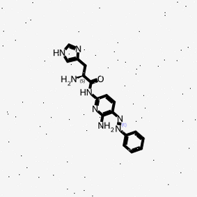 Nc1nc(NC(=O)[C@@H](N)Cc2c[nH]cn2)ccc1/N=N/c1ccccc1